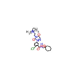 CN(C)CCn1c(=O)cnn(-c2ccc(Cl)c(C(=O)NCC3(O)CCCCCC3)c2)c1=O